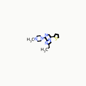 CCc1cn2c(-c3cccs3)cnc(N3CCN(C)CC3)c2n1